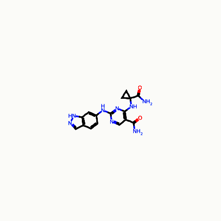 NC(=O)c1cnc(Nc2ccc3cn[nH]c3c2)nc1NC1(C(N)=O)CC1